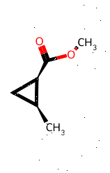 COC(=O)[C@@H]1C[C@@H]1C